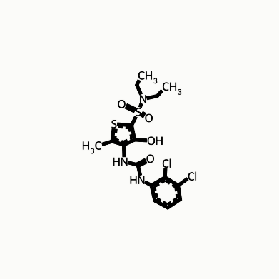 CCN(CC)S(=O)(=O)c1sc(C)c(NC(=O)Nc2cccc(Cl)c2Cl)c1O